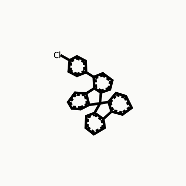 Clc1ccc(-c2cccc3c2-c2ccccc2C32c3ccccc3-c3ccccc32)cc1